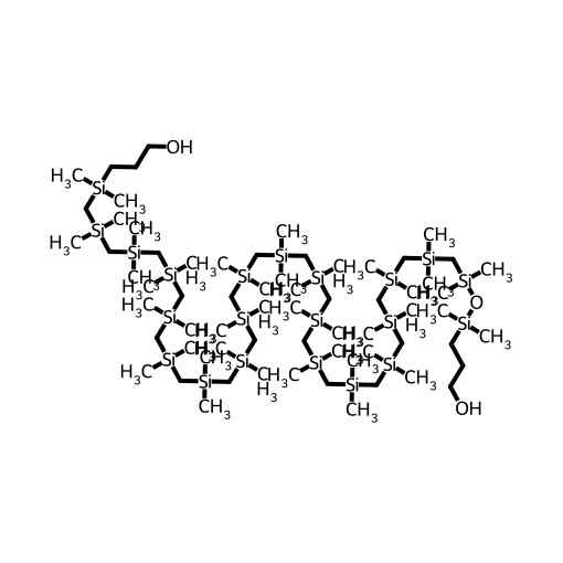 C[Si](C)(CCCO)C[Si](C)(C)C[Si](C)(C)C[Si](C)(C)C[Si](C)(C)C[Si](C)(C)C[Si](C)(C)C[Si](C)(C)C[Si](C)(C)C[Si](C)(C)C[Si](C)(C)C[Si](C)(C)C[Si](C)(C)C[Si](C)(C)C[Si](C)(C)C[Si](C)(C)C[Si](C)(C)C[Si](C)(C)C[Si](C)(C)C[Si](C)(C)O[Si](C)(C)CCCO